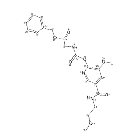 COCCNC(=O)c1cnc(OC(=O)NCC(=O)OCc2ccccc2)c(OC)c1